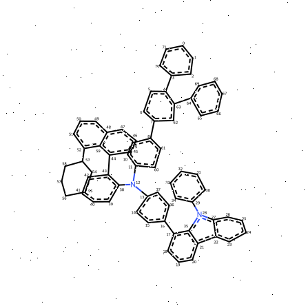 c1ccc(-c2ccc(-c3ccc(N(c4ccc(-c5cccc6c7ccccc7n(-c7ccccc7)c56)cc4)c4ccccc4-c4cccc5cccc(C6CCCCC6)c45)cc3)cc2-c2ccccc2)cc1